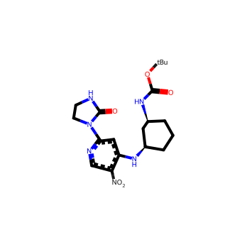 CC(C)(C)OC(=O)N[C@H]1CCC[C@@H](Nc2cc(N3CCNC3=O)ncc2[N+](=O)[O-])C1